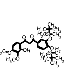 COc1ccc(C(=O)CC(=O)c2ccc(O[Si](C)(C)C(C)(C)C)c(O[Si](C)(C)C(C)(C)C)c2)c(O)c1OC